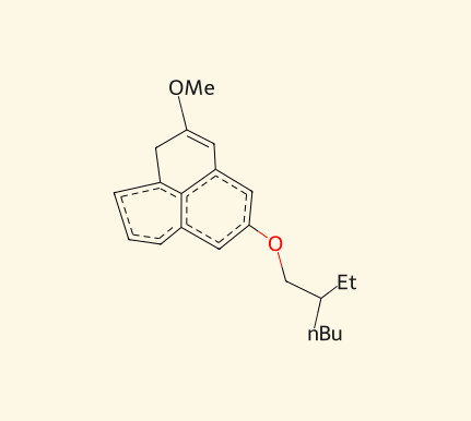 CCCCC(CC)COc1cc2c3c(cccc3c1)CC(OC)=C2